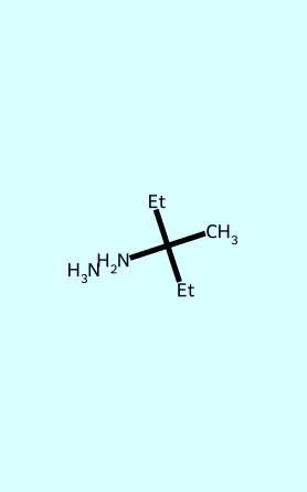 CCC(C)(N)CC.N